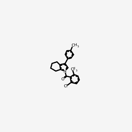 Cc1ccc(-c2cn(C(=O)c3c(Cl)cccc3C(F)(F)F)c3c2CCCC3)cc1